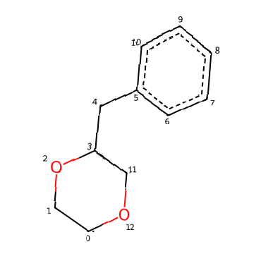 [CH]1COC(Cc2ccccc2)CO1